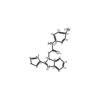 O=C(Cn1c(C2=CCC=N2)nc2ccccc21)Nc1ccc(Br)cc1